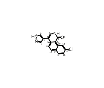 O=c1[nH]cc(-c2cn[nH]c2)c2ccc3ccc(Cl)cc3c12